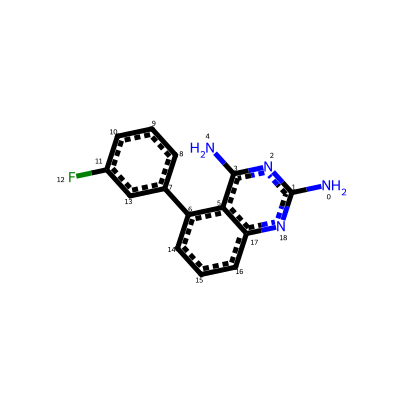 Nc1nc(N)c2c(-c3cccc(F)c3)cccc2n1